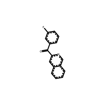 O=C(c1cccc(F)c1)c1cc2ccccc2cn1